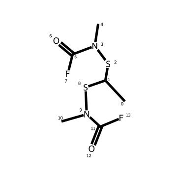 CC(SN(C)C(=O)F)SN(C)C(=O)F